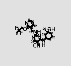 CC(F)(F)COc1ncncc1CNc1ncc(C#N)c(N[C@@H]2CCC[C@@](C)(O)C2)n1